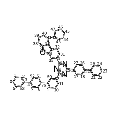 c1ccc(-c2ccc(-c3cccc(-c4nc(-c5ccc(-c6ccccc6)cc5)nc(-c5ccc6c(c5)oc5cccc(-c7ccccc7)c56)n4)c3)cc2)cc1